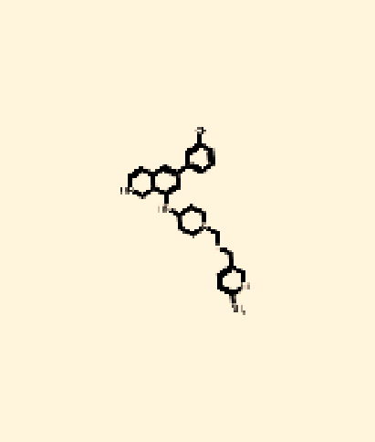 N#Cc1cccc(C2=CC3C=CNCC3C(NC3CCN(COCC4=CC=C(N)NC4)CC3)=C2)c1